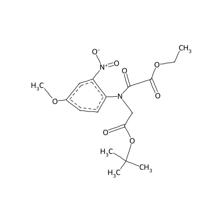 CCOC(=O)C(=O)N(CC(=O)OC(C)(C)C)c1ccc(OC)cc1[N+](=O)[O-]